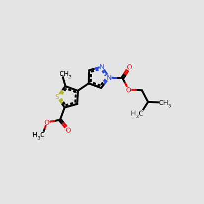 COC(=O)c1cc(-c2cnn(C(=O)OCC(C)C)c2)c(C)s1